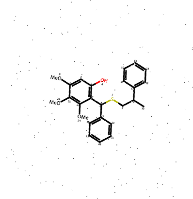 COc1cc(O)c(C(SCC(C)c2ccccc2)c2ccccc2)c(OC)c1OC